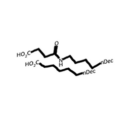 CCCCCCCCCCCCCCCC(=O)O.CCCCCCCCCCCCCCNC(=O)CCC(=O)O